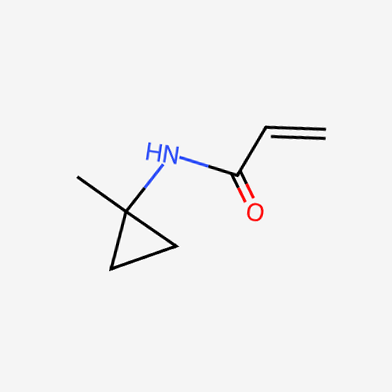 C=CC(=O)NC1(C)CC1